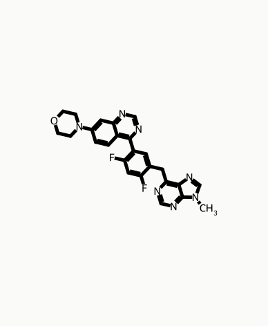 Cn1cnc2c(Cc3cc(-c4ncnc5cc(N6CCOCC6)ccc45)c(F)cc3F)ncnc21